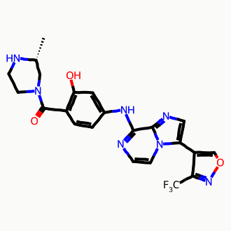 C[C@@H]1CN(C(=O)c2ccc(Nc3nccn4c(-c5conc5C(F)(F)F)cnc34)cc2O)CCN1